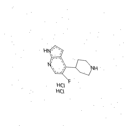 Cl.Cl.Fc1cnc2[nH]ccc2c1C1CCNCC1